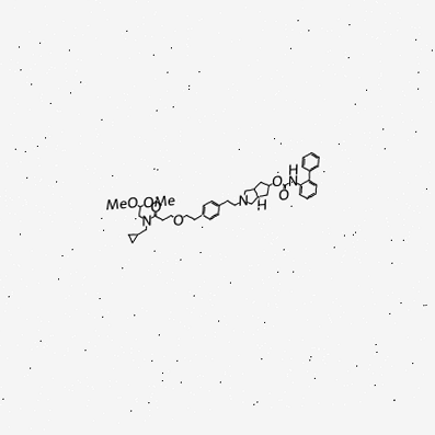 COC(CN(CC1CC1)C(=O)CCOCCc1ccc(CCN2CC3CC(OC(=O)Nc4ccccc4-c4ccccc4)C[C@H]3C2)cc1)OC